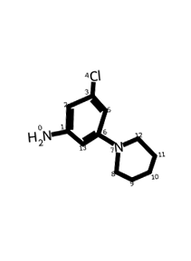 Nc1cc(Cl)cc(N2CCCCC2)c1